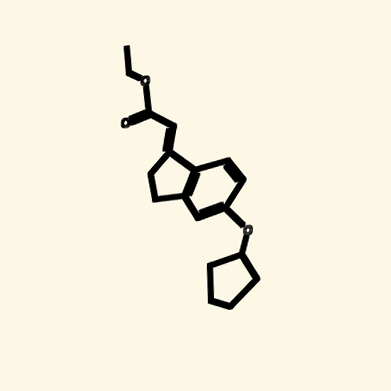 CCOC(=O)C=C1CCc2cc(OC3CCCC3)ccc21